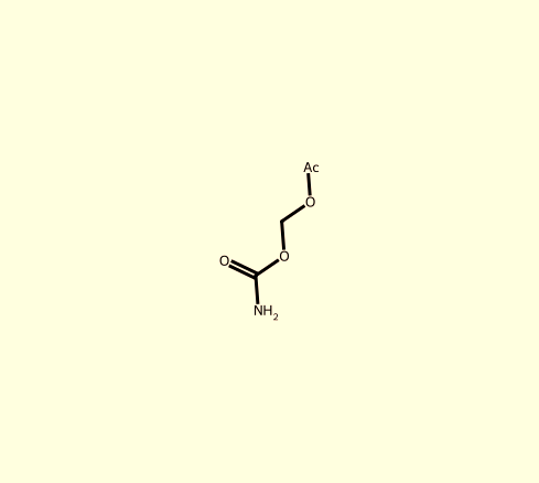 CC(=O)OCOC(N)=O